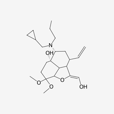 C=CC1C[C@@H](N(CCC)CC2CC2)[C@]2(O)CCC(OC)(OC)C3O/C(=C\O)C1C32